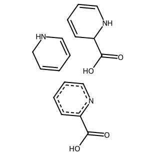 C1=CCNC=C1.O=C(O)C1C=CC=CN1.O=C(O)c1ccccn1